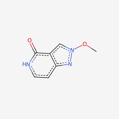 COn1cc2c(=O)[nH]ccc2n1